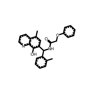 Cc1ccccc1C(NC(=O)COc1ccccc1)c1cc(C)c2cccnc2c1O